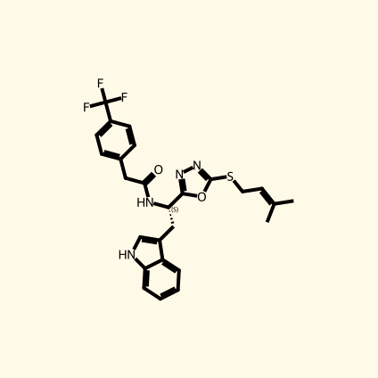 CC(C)=CCSc1nnc([C@H](Cc2c[nH]c3ccccc23)NC(=O)Cc2ccc(C(F)(F)F)cc2)o1